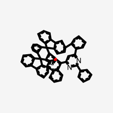 c1ccc(-c2nc(-c3ccccc3-c3ccc4c(c3)-c3ccccc3C43c4ccccc4C4(c5ccccc5-c5ccccc54)c4ccccc43)cc(-c3cccc4ccccc34)n2)cc1